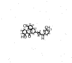 Cc1nccc(NC23CC(C(CNC(=O)c4ccccc4O)Cc4ccc(Cl)cc4)(C2)C3)n1